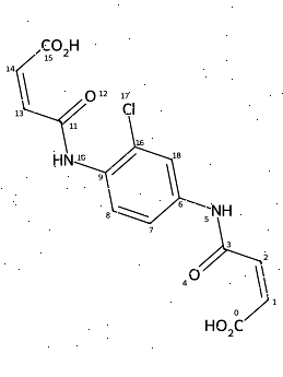 O=C(O)/C=C\C(=O)Nc1ccc(NC(=O)/C=C\C(=O)O)c(Cl)c1